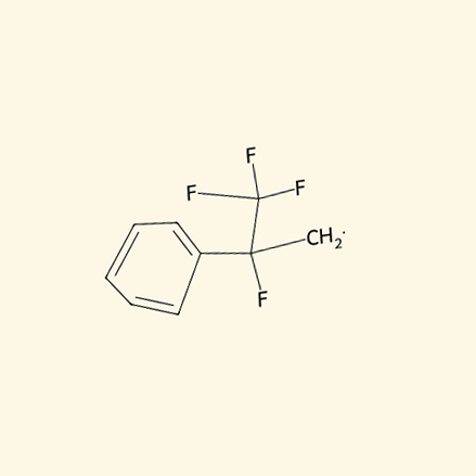 [CH2]C(F)(c1ccccc1)C(F)(F)F